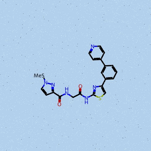 CSn1ccc(C(=O)NCC(=O)Nc2nc(-c3cccc(-c4ccncc4)c3)cs2)n1